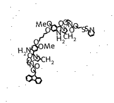 C=C1C[C@@H](C2OCCN2C(=O)OCCSSc2ccccn2)N(C(=O)c2cc(OC)c(OCCCCCOc3cc(N)c(C(=O)N4CC(=C)C[C@H]4C4OCCN4C(=O)OCC4c5ccccc5-c5ccccc54)cc3OC)cc2N)C1